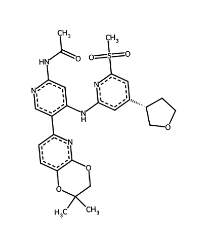 CC(=O)Nc1cc(Nc2cc([C@@H]3CCOC3)cc(S(C)(=O)=O)n2)c(-c2ccc3c(n2)OCC(C)(C)O3)cn1